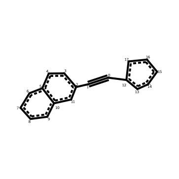 C(#Cc1ccc2ccccc2c1)c1c[c]ccc1